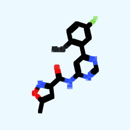 COc1ccc(F)cc1-c1cc(NC(=O)c2cc(C)on2)ncn1